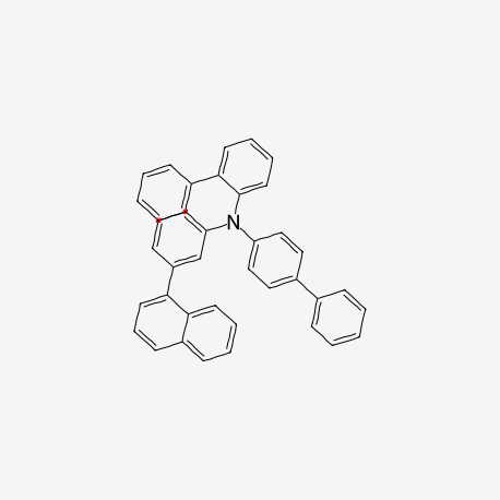 c1ccc(-c2ccc(N(c3cccc(-c4cccc5ccccc45)c3)c3ccccc3-c3ccccc3)cc2)cc1